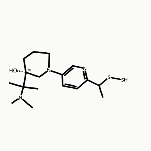 CC(SS)c1ccc(N2CCC[C@](O)(C(C)(C)N(C)C)C2)cn1